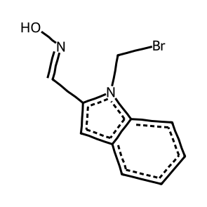 O/N=C/c1cc2ccccc2n1CBr